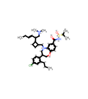 CC/C=C/C(CN(C)C)C1CCC1CN1CC(c2ccc(Cl)cc2CCC)COc2ccc(C(=O)N[S+]([O-])C(C)C)cc21